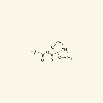 COC(C)(OC)C(=O)OC(C)=O